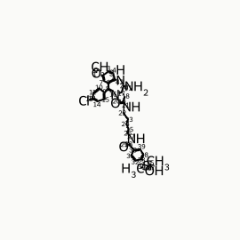 COc1ccc2c(c1)C(c1ccc(Cl)cc1)=N[C@@H](CC(=O)NCCCCCNC(=O)c1ccc([Si](C)(C)O)cc1)C(N)N2